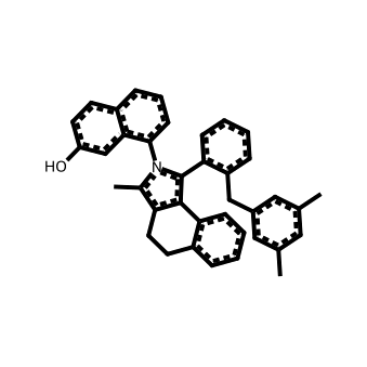 Cc1cc(C)cc(Cc2ccccc2-c2c3c(c(C)n2-c2cccc4ccc(O)cc24)CCc2ccccc2-3)c1